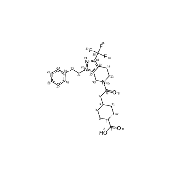 O=C(O)C1CCC(CC(=O)N2CCc3c(C(F)(F)F)nn(CCc4ccccc4)c3C2)CC1